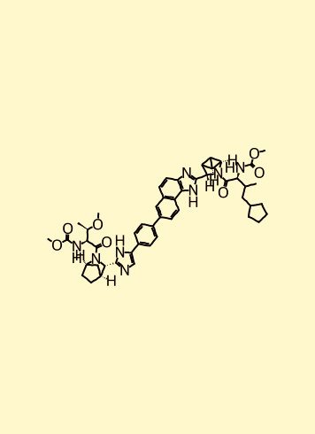 COC(=O)N[C@H](C(=O)N1[C@H](c2nc3ccc4cc(-c5ccc(-c6cnc([C@@H]7[C@H]8CC[C@H](C8)N7C(=O)[C@@H](NC(=O)OC)[C@@H](C)OC)[nH]6)cc5)ccc4c3[nH]2)C2C3[C@H]2[C@@H]31)C(C)CC1CCCC1